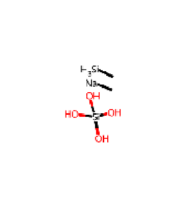 C[SiH3].O[Si](O)(O)O.[CH3][Na]